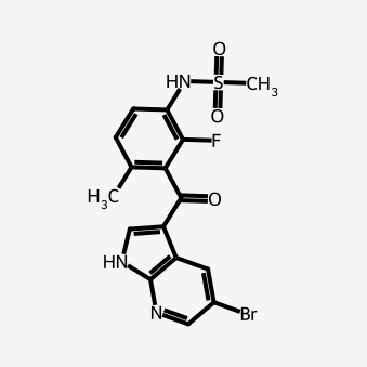 Cc1ccc(NS(C)(=O)=O)c(F)c1C(=O)c1c[nH]c2ncc(Br)cc12